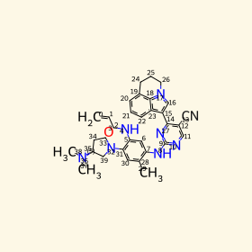 C=CC(=O)Nc1cc(Nc2ncc(C#N)c(-c3cn4c5c(cccc35)CCC4)n2)c(C)cc1N1CC[C@H](N(C)C)C1